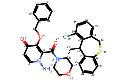 Nn1ccc(=O)c(OCc2ccccc2)c1C(=O)N1CCOC[C@H]1C[C@@H]1c2ccccc2SCc2cccc(Cl)c21